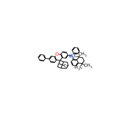 CC1(C)CCC(C)(C)c2c(N(c3ccccc3)c3ccc4c(c3)C3(c5ccc(-c6ccccc6)cc5O4)C4CC5CC6CC3C64C5)cccc21